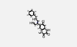 Cn1c(=O)c(=O)[nH]c2cc(Cl)c(/C(C=N)=C/NCc3ccccc3)cc21